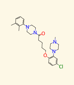 Cc1cccc(N2CCN(C(=O)CCCCOc3ccc(Cl)cc3N3CCN(C)CC3)CC2)c1C